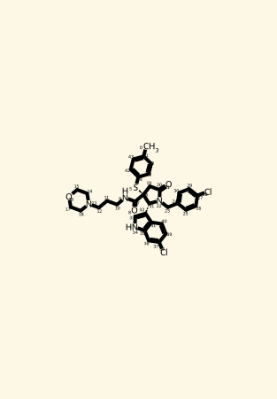 Cc1ccc(S[C@]2(C(=O)NCCCN3CCOCC3)CC(=O)N(Cc3ccc(Cl)cc3)[C@@H]2c2c[nH]c3cc(Cl)ccc23)cc1